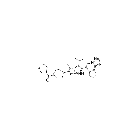 Cc1c(C2CCN(C(=O)[C@@H]3CCCOC3)CC2)sc2[nH]c(-c3cn4ncnc4c4c3CCC4)c(C(C)C)c12